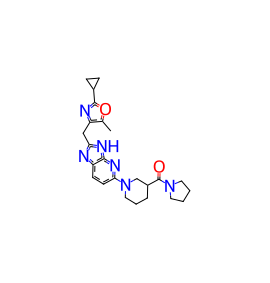 Cc1oc(C2CC2)nc1Cc1nc2ccc(N3CCCC(C(=O)N4CCCC4)C3)nc2[nH]1